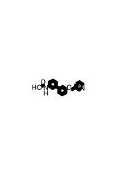 O=C(O)Nc1cccc(-c2cccc(OCC3CN4CCC3CC4)c2)c1